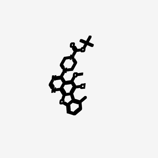 COc1c(Cl)c2c(oc3cccc(C)c32)c2ncnc(N3CCN(C(=O)OC(C)(C)C)CC3)c12